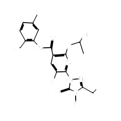 CCn1c(CO)nn(-c2nc(OC(C)C(F)(F)F)c(C(=O)Nc3cc(C)ccc3Cl)cc2F)c1=O